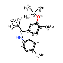 C=C(C(=O)OCC)[C@@H](Nc1ccc(OC)cc1)c1ccc(OC)c(O[Si](C)(C)C(C)(C)C)c1